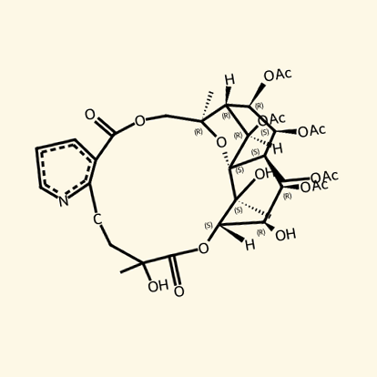 CC(=O)OC[C@]12[C@H](OC(C)=O)[C@H](OC(C)=O)[C@@H]3[C@@H](OC(C)=O)[C@@]14O[C@@]3(C)COC(=O)c1cccnc1CCC(C)(O)C(=O)O[C@@H]([C@H](O)[C@@H]2OC(C)=O)[C@]4(C)O